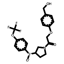 O=C(COc1ccc(CO)cc1)N1CCC([S+]([O-])c2ccc(OC(F)(F)F)cc2)C1